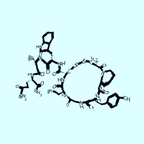 CCC(C)[C@H](NC(=O)[C@H](CC1=CNC2C=CC=CC12)NC(=O)[C@@H]1CSSC[C@H](C)C(=O)N2CCC[C@H]2C(=O)N[C@@H](Cc2ccc(O)cc2)C(=O)NCC(=O)N[C@@H](CC(C)C)C(=O)N1)C(=O)N[C@@H](CCC(N)=O)C(N)=O